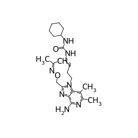 CC(C)=NOCc1nc2c(N)nc(C)c(C)c2n1CCCCNC(=O)NC1CCCCC1